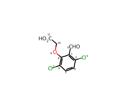 O=Cc1c(Cl)ccc(Cl)c1OCC(=O)O